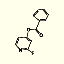 O=C(Oc1ccnc(F)c1)c1ccccc1